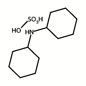 C1CCC(NC2CCCCC2)CC1.O=S(=O)(O)O